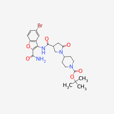 CC(C)(C)OC(=O)N1CCC(N2CC(C(=O)Nc3c(C(N)=O)oc4ccc(Br)cc34)CC2=O)CC1